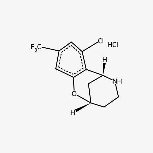 Cl.FC(F)(F)c1cc(Cl)c2c(c1)O[C@H]1CCN[C@@H]2C1